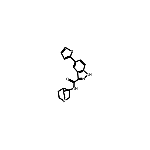 O=C(NC1CN2CCC1CC2)c1n[nH]c2ccc(-c3cccs3)cc12